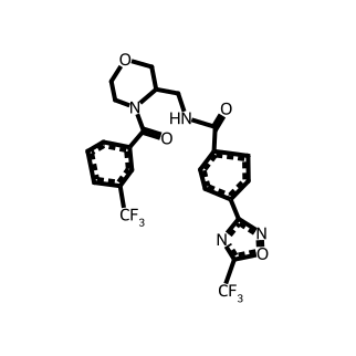 O=C(NCC1COCCN1C(=O)c1cccc(C(F)(F)F)c1)c1ccc(-c2noc(C(F)(F)F)n2)cc1